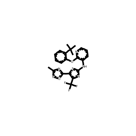 Cc1noc(-c2sc(Nc3cccnc3Oc3ccccc3C(C)(C)C)nc2C(F)(F)F)n1